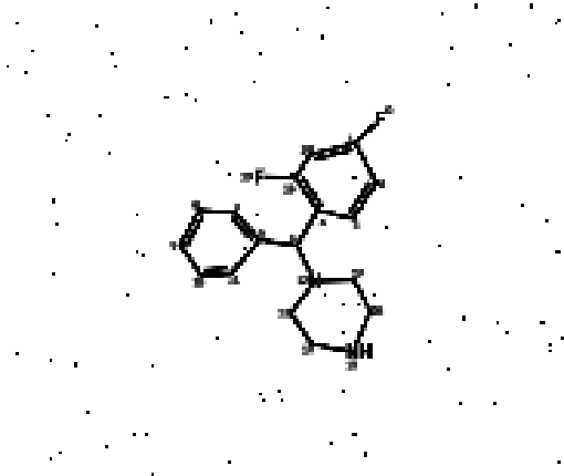 Fc1ccc(C(c2ccccc2)N2CCNCC2)c(F)c1